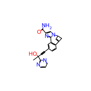 CC(O)(C#Cc1ccc2c(c1)-c1nc(C(N)=O)cn1C1C=C2C1)c1ncccn1